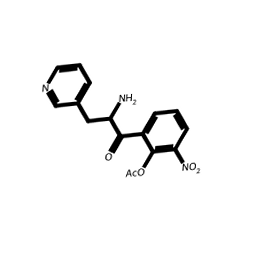 CC(=O)Oc1c(C(=O)C(N)Cc2cccnc2)cccc1[N+](=O)[O-]